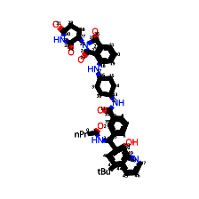 CCCC(=O)NC(c1cccc(C(=O)NC2CCC(Nc3cccc4c3C(=O)N(C3CCC(=O)NC3=O)C4=O)CC2)c1)c1cc(C(C)(C)C)c2cccnc2c1O